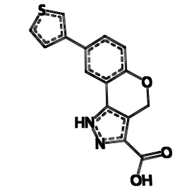 O=C(O)c1n[nH]c2c1COc1ccc(-c3ccsc3)cc1-2